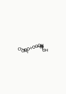 CC(C)(c1ccc(OC[C@@H](O)Cn2nccc2CO)cc1)c1ccc(OC[C@H](O)CCl)c(I)c1